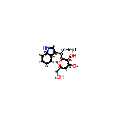 CCCCCCCC(c1oc(CO)cc(=O)c1O)c1c[nH]c2ccccc12